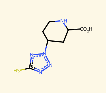 O=C(O)C1CC(n2nnc(S)n2)CCN1